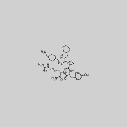 N=C(N)NCCCCC(NC(=O)C(Cc1ccc(O)cc1)NC(=O)C1CCN1C(=O)C(CC1CCCCC1)NC(=O)C1CCC(CN)CC1)C(N)=O